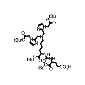 CC(C)(C)OC(=O)Cn1ccnc1CN(CCCCC(NC(=O)NC(CCC(=O)O)C(=O)OC(C)(C)C)C(=O)OC(C)(C)C)Cc1nccn1CC(=O)OC(C)(C)C